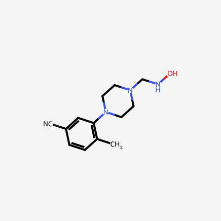 Cc1ccc(C#N)cc1N1CCN(CNO)CC1